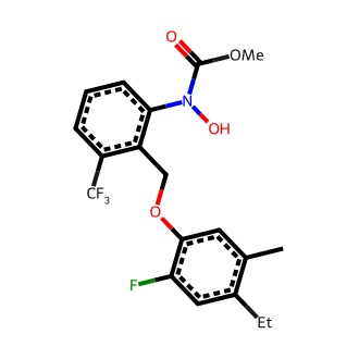 CCc1cc(F)c(OCc2c(N(O)C(=O)OC)cccc2C(F)(F)F)cc1C